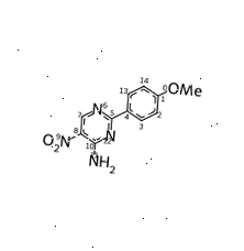 COc1ccc(-c2ncc([N+](=O)[O-])c(N)n2)cc1